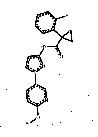 CCOc1ccc(-n2ccc(NC(=O)C3(c4ccccc4F)CC3)n2)cn1